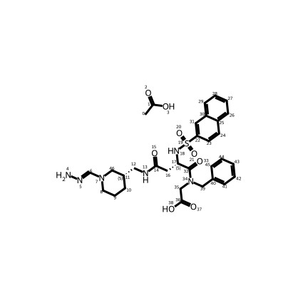 CC(=O)O.NN=CN1CCC[C@@H](CNC(=O)C[C@H](NS(=O)(=O)c2ccc3ccccc3c2)C(=O)N(CC(=O)O)Cc2ccccc2)C1